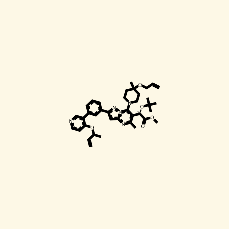 C=CCOC1(C)CCN(c2c([C@H](OC(C)(C)C)C(=O)OC)c(C)nc3cc(-c4cccc(-c5cnccc5OC(C)C=C)c4)nn23)CC1